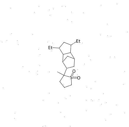 CCC1CC(CC)C2C3CC(CC3C3(C)CCCS3(=O)=O)C12